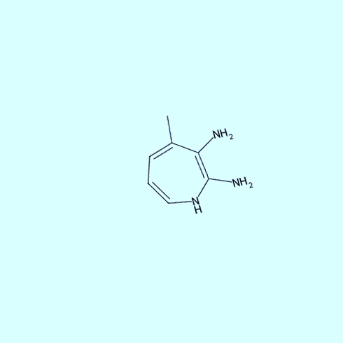 CC1=CC=CNC(N)=C1N